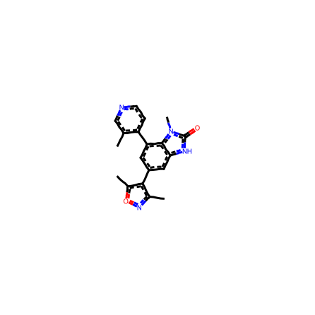 Cc1cnccc1-c1cc(-c2c(C)noc2C)cc2[nH]c(=O)n(C)c12